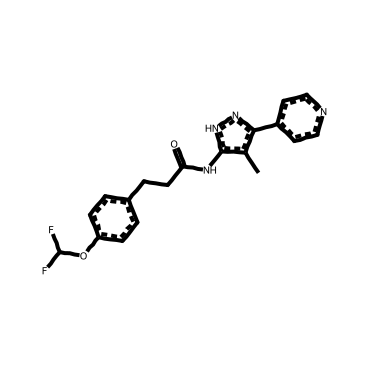 Cc1c(-c2ccncc2)n[nH]c1NC(=O)CCc1ccc(OC(F)F)cc1